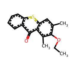 CCOc1c(C)cc2sc3ccccc3c(=O)c2c1C